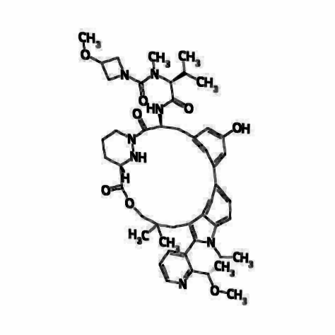 CCn1c(-c2cccnc2[C@H](C)OC)c2c3cc(ccc31)-c1cc(O)cc(c1)C[C@H](NC(=O)[C@H](C(C)C)N(C)C(=O)N1CC(OC)C1)C(=O)N1CCC[C@H](N1)C(=O)OCC(C)(C)C2